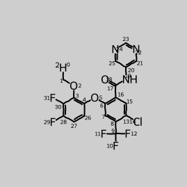 [2H]COc1c(Oc2cc(C(F)(F)F)c(Cl)cc2C(=O)Nc2cncnc2)ccc(F)c1F